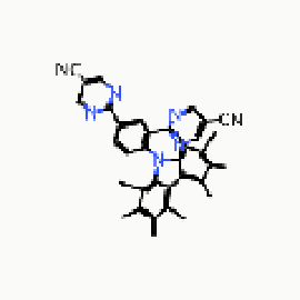 Cc1c(C)c(C)c2c(c1C)c1c(C)c(C)c(C)c(C)c1n2-c1ccc(-c2ncc(C#N)cn2)cc1-c1ncc(C#N)cn1